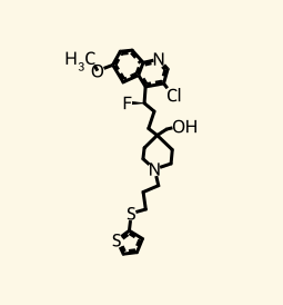 COc1ccc2ncc(Cl)c([C@H](F)CCC3(CO)CCN(CCCSc4cccs4)CC3)c2c1